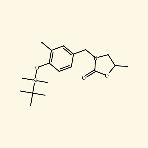 Cc1cc(CN2CC(C)OC2=O)ccc1O[Si](C)(C)C(C)(C)C